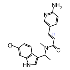 CC(c1c[nH]c2cc(Cl)ccc12)N(C)C(=O)/C=C/c1ccc(N)nc1